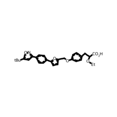 CCOC(Cc1ccc(OCc2ccc(-c3ccc(-c4cc(C(C)(C)C)on4)cc3)o2)cc1)C(=O)O